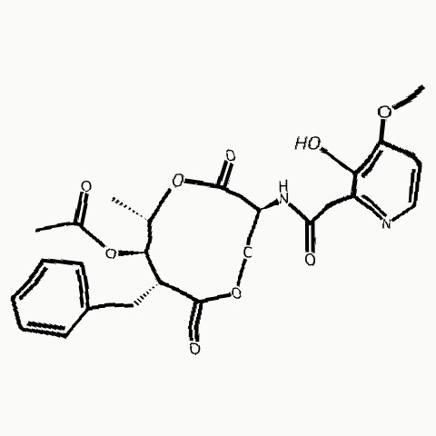 COc1ccnc(C(=O)N[C@H]2COC(=O)[C@H](Cc3ccccc3)[C@@H](OC(C)=O)[C@H](C)OC2=O)c1O